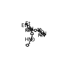 CCN(CC)c1ccc(-c2nc(-c3ccc(C4=NOC(C(=O)Oc5ncc[nH]5)C4)cc3)c(-c3ccc(C=CC(=O)NCCCc4ccccc4)cc3)[nH]2)c(O)c1